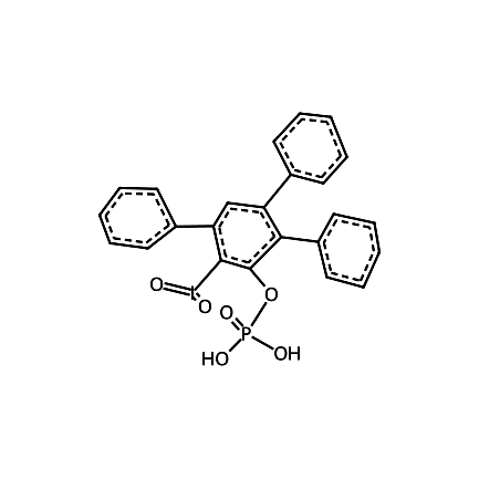 O=I(=O)c1c(-c2ccccc2)cc(-c2ccccc2)c(-c2ccccc2)c1OP(=O)(O)O